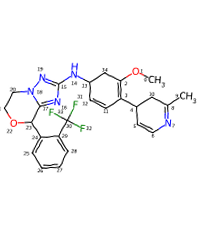 COC1=C(C2C=CN=C(C)C2)C=CC(Nc2nc3n(n2)CCOC3c2ccccc2C(F)(F)F)C1